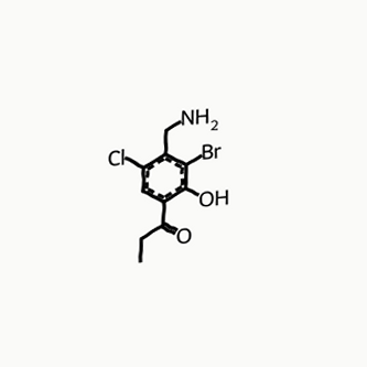 CCC(=O)c1cc(Cl)c(CN)c(Br)c1O